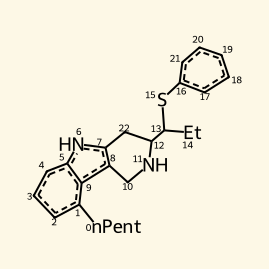 CCCCCc1cccc2[nH]c3c(c12)CNC(C(CC)Sc1ccccc1)C3